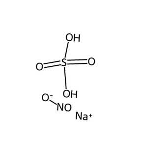 O=N[O-].O=S(=O)(O)O.[Na+]